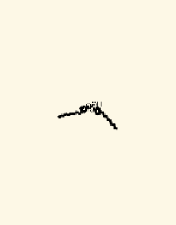 CCCCCCCCCc1ccc(OP(O)Oc2ccc(CCCCCCCCC)cc2)cc1